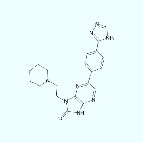 O=c1[nH]c2ncc(-c3ccc(-c4nnc[nH]4)cc3)nc2n1CCN1CCCCC1